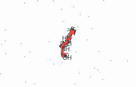 [2H]C([2H])(CCOc1ccn(-c2ccc(C(=O)NS(=O)(=O)c3cccc(NCCC[C@@H]4CN(C(=O)O)C(C)(C)C4)n3)c(Cl)n2)n1)C1(C(F)(F)F)CC1